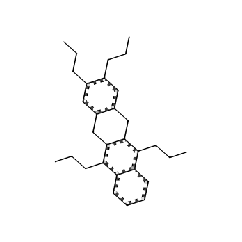 CCCc1cc2c(cc1CCC)Cc1c(c(CCC)c3ccccc3c1CCC)C2